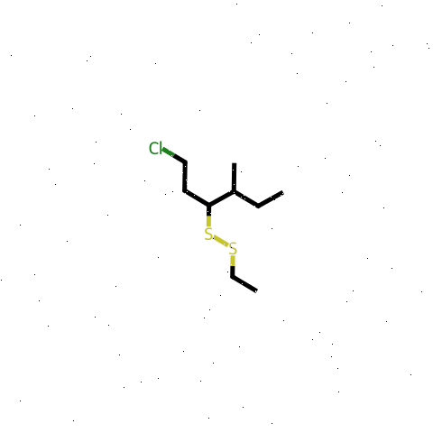 CCSSC(CCCl)C(C)CC